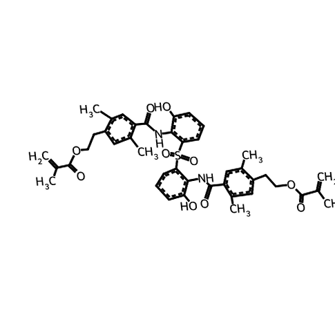 C=C(C)C(=O)OCCc1cc(C)c(C(=O)Nc2c(O)cccc2S(=O)(=O)c2cccc(O)c2NC(=O)c2cc(C)c(CCOC(=O)C(=C)C)cc2C)cc1C